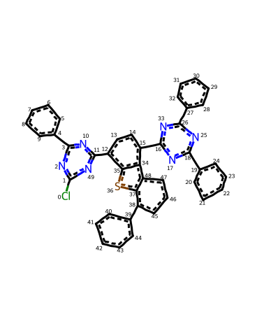 Clc1nc(-c2ccccc2)nc(-c2ccc(-c3nc(-c4ccccc4)nc(-c4ccccc4)n3)c3c2sc2c(-c4ccccc4)cccc23)n1